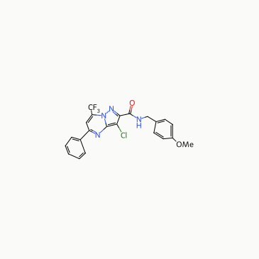 COc1ccc(CNC(=O)c2nn3c(C(F)(F)F)cc(-c4ccccc4)nc3c2Cl)cc1